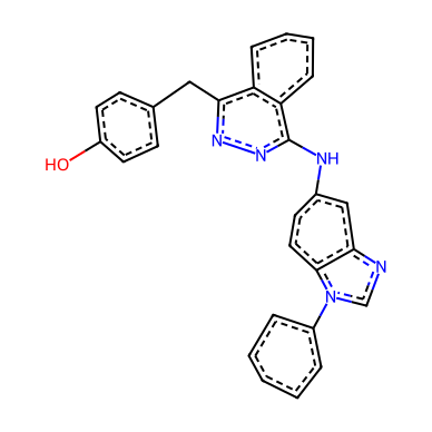 Oc1ccc(Cc2nnc(Nc3ccc4c(c3)ncn4-c3ccccc3)c3ccccc23)cc1